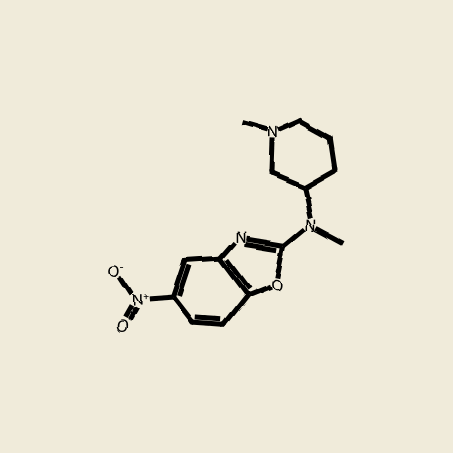 CN1CCCC(N(C)c2nc3cc([N+](=O)[O-])ccc3o2)C1